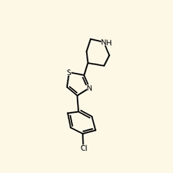 Clc1ccc(-c2csc(C3CCNCC3)n2)cc1